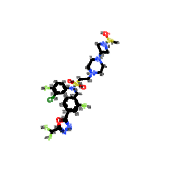 C[S+]([O-])N1CC(N2CCN(CCS(=O)(=O)N(Cc3ccc(-c4nnc(C(F)F)o4)cc3F)c3ccc(F)c(Cl)c3)CC2)C1